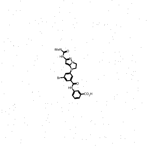 CNC(=O)Nc1cc2n(n1)CCN2c1cc(Br)cc(C(=O)Nc2cccc(C(=O)O)c2)c1